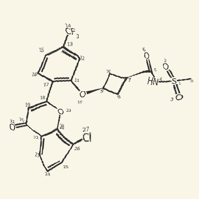 CS(=O)(=O)NC(=O)[C@H]1C[C@@H](Oc2cc(C(F)(F)F)ccc2-c2cc(=O)c3cccc(Cl)c3o2)C1